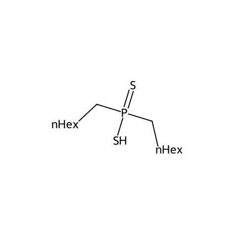 CCCCCCCP(=S)(S)CCCCCCC